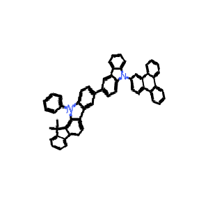 CC1(C)c2ccccc2-c2ccc3c4cc(-c5ccc6c(c5)c5ccccc5n6-c5ccc6c7ccccc7c7ccccc7c6c5)ccc4n(-c4ccccc4)c3c21